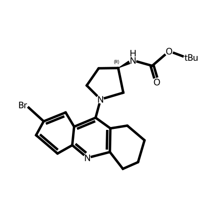 CC(C)(C)OC(=O)N[C@@H]1CCN(c2c3c(nc4ccc(Br)cc24)CCCC3)C1